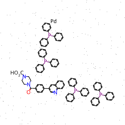 O=C(O)N1CCN(C(=O)c2ccc(-c3cnc4ccccc4c3)cc2)CC1.[Pd].c1ccc(P(c2ccccc2)c2ccccc2)cc1.c1ccc(P(c2ccccc2)c2ccccc2)cc1.c1ccc(P(c2ccccc2)c2ccccc2)cc1.c1ccc(P(c2ccccc2)c2ccccc2)cc1